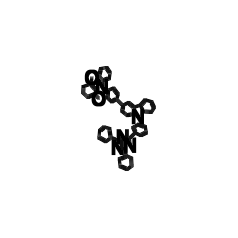 c1ccc(-c2nc(-c3ccccc3)nc(-c3cccc(-n4c5ccccc5c5cc(-c6ccc7c(c6)Oc6cccc8c6N7c6ccccc6O8)ccc54)c3)n2)cc1